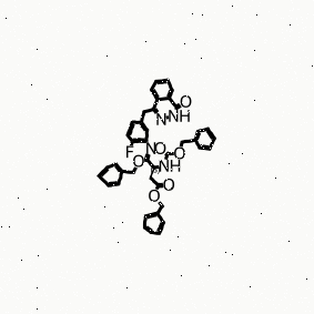 O=C(C[C@H](NC(=O)OCc1ccccc1)C(=Nc1cc(Cc2n[nH]c(=O)c3ccccc23)ccc1F)OCc1ccccc1)OCc1ccccc1